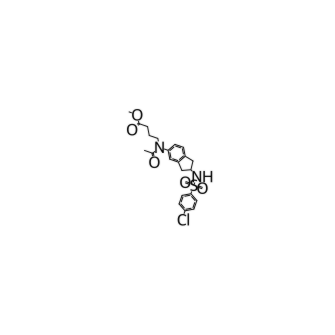 COC(=O)CCCN(C(C)=O)c1ccc2c(c1)CC(NS(=O)(=O)c1ccc(Cl)cc1)C2